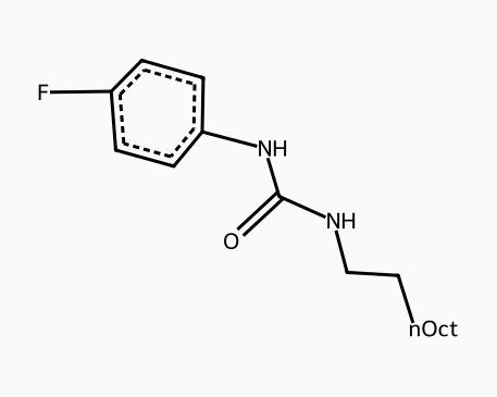 CCCCCCCCCCNC(=O)Nc1ccc(F)cc1